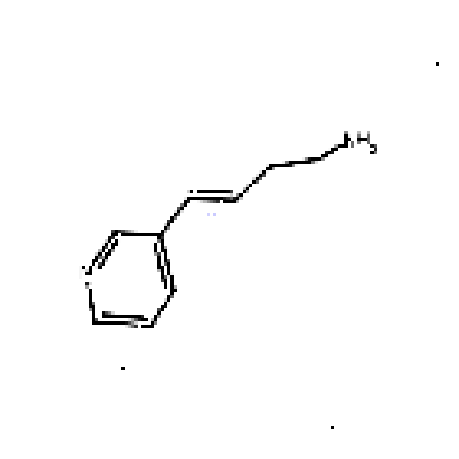 NCC/C=C/c1cccnc1